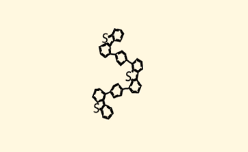 c1ccc2c(c1)sc1cccc(-c3ccc(-c4cccc5c4sc4c(-c6ccc(-c7cccc8sc9ccccc9c78)cc6)cccc45)cc3)c12